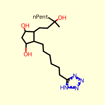 CCCCCC(C)(O)CCC1C(O)CC(O)C1CCCCCCc1nnn[nH]1